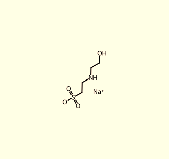 O=S(=O)([O-])CCNCCO.[Na+]